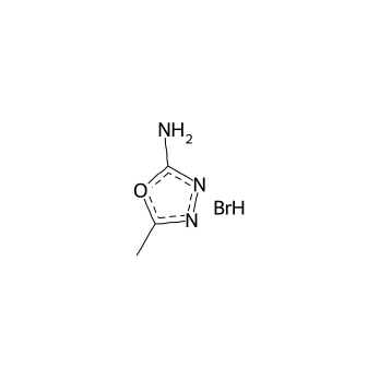 Br.Cc1nnc(N)o1